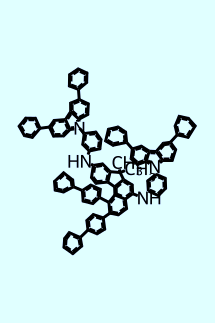 CC1(C)c2cc(Nc3cccc(-n4c5ccc(-c6ccccc6)cc5c5cc(-c6ccccc6)ccc54)c3)ccc2-c2c1cc(Nc1cccc(-n3c4ccc(-c5ccccc5)cc4c4cc(-c5ccccc5)ccc43)c1)c1ccc(-c3ccc(-c4ccccc4)cc3)c(-c3ccc(-c4ccccc4)cc3)c21